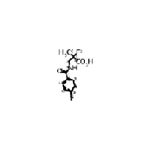 CC(F)(CNC(=O)c1ccc(F)cc1)C(=O)O